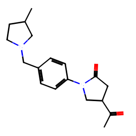 CC(=O)C1CC(=O)N(c2ccc(CN3CCC(C)C3)cc2)C1